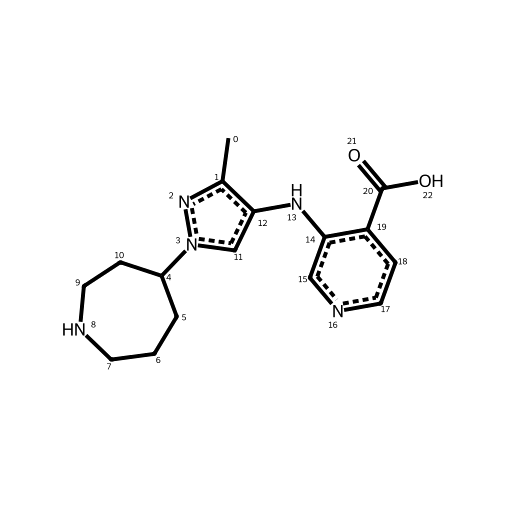 Cc1nn(C2CCCNCC2)cc1Nc1cnccc1C(=O)O